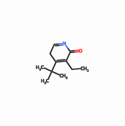 CCC1=C(C(C)(C)C)CC=NC1=O